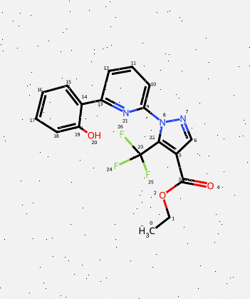 CCOC(=O)c1cnn(-c2cccc(-c3ccccc3O)n2)c1C(F)(F)F